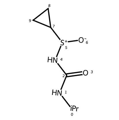 CC(C)NC(=O)N[S+]([O-])C1CC1